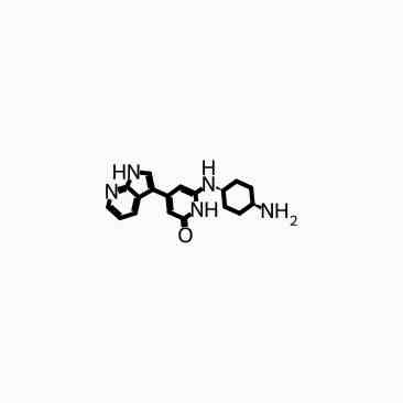 N[C@H]1CC[C@H](Nc2cc(-c3c[nH]c4ncccc34)cc(=O)[nH]2)CC1